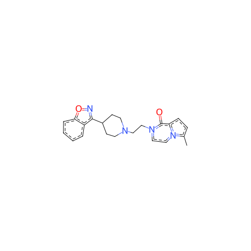 Cc1ccc2c(=O)n(CCN3CCC(c4noc5ccccc45)CC3)ccn12